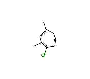 CC1=CC(C)=C(Cl)C=CC1